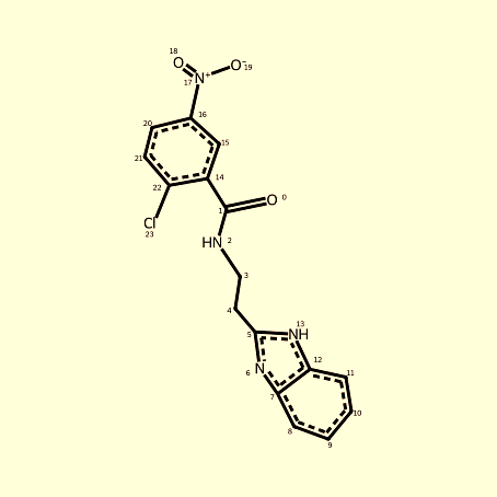 O=C(NCCc1nc2ccccc2[nH]1)c1cc([N+](=O)[O-])ccc1Cl